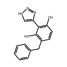 Oc1ccc(Cc2ccccc2)c(O)c1-c1c[nH]nn1